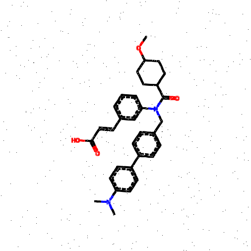 COC1CCC(C(=O)N(Cc2ccc(-c3ccc(N(C)C)cc3)cc2)c2cccc(C=CC(=O)O)c2)CC1